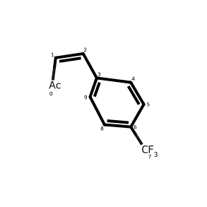 CC(=O)/C=C\c1ccc(C(F)(F)F)cc1